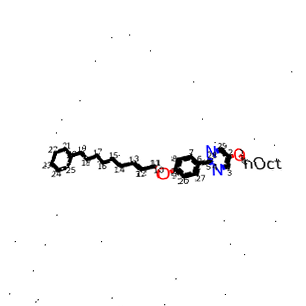 CCCCCCCCOc1cnc(-c2ccc(OCCCCCCCCCC3CCCCC3)cc2)nc1